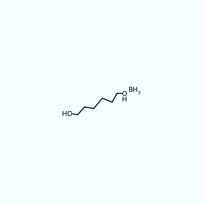 B.OCCCCCCO